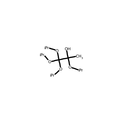 CC(C)OC(C)(O)C(OC(C)C)(OC(C)C)OC(C)C